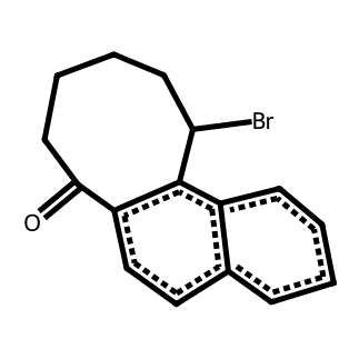 O=C1CCCCC(Br)c2c1ccc1ccccc21